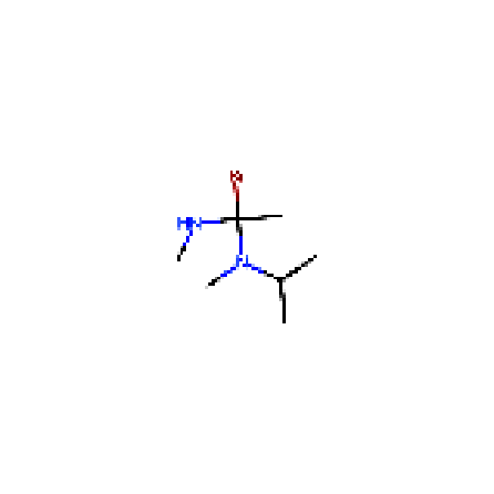 CNC(C)(Br)N(C)C(C)C